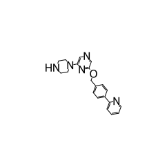 c1ccc(-c2ccc(COc3cncc(N4CCNCC4)n3)cc2)nc1